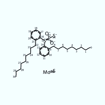 CCCCCCCCCc1ccccc1S(c1ccccc1CCCCCCCCC)=P([O-])([O-])[S-].[S]=[Mo+3]